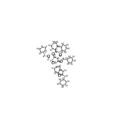 c1ccc(COC[C@H]2O[C@@H](c3ccc4oc(Cc5ccccc5)cc4c3)[C@H](OCc3ccccc3)[C@@H](OCc3ccccc3)[C@@H]2OCc2ccccc2)cc1